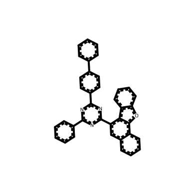 c1ccc(-c2ccc(-c3nc(-c4ccccc4)nc(-c4cc5ccccc5c5oc6ccccc6c45)n3)cc2)cc1